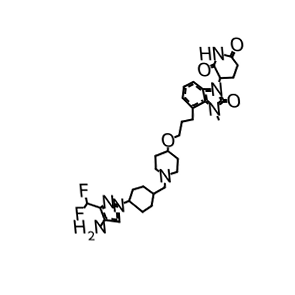 Cn1c(=O)n(C2CCC(=O)NC2=O)c2cccc(CCCOC3CCN(CC4CCC(n5cc(N)c(C(F)F)n5)CC4)CC3)c21